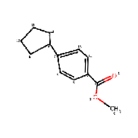 COC(=O)c1ccc(C2CCCC2)cc1